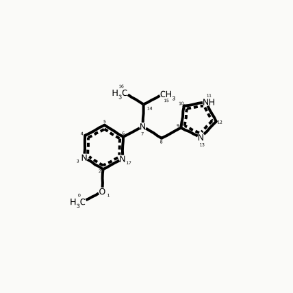 COc1nccc(N(Cc2c[nH]cn2)C(C)C)n1